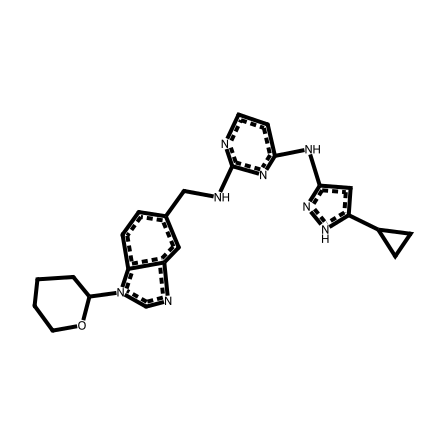 c1cc(Nc2cc(C3CC3)[nH]n2)nc(NCc2ccc3c(c2)ncn3C2CCCCO2)n1